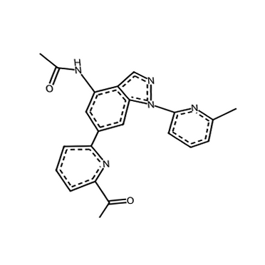 CC(=O)Nc1cc(-c2cccc(C(C)=O)n2)cc2c1cnn2-c1cccc(C)n1